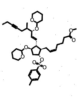 CCC#CCC(C)[C@@H](/C=C/[C@@H]1[C@@H](C/C=C\CCCC(=O)OC)[C@H](OS(=O)(=O)c2ccc(C)cc2)C[C@H]1OC1CCCCO1)OC1CCCCO1